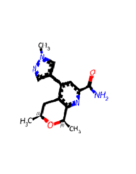 C[C@H]1Cc2c(-c3cnn(C)c3)cc(C(N)=O)nc2[C@@H](C)O1